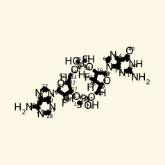 Nc1nc2c(ncn2[C@@H]2O[C@@H]3CO[P@@](O)(=S)O[C@@H]4[C@H](F)[C@H](n5cnc6c(N)ncnc65)O[C@@H]4CO[PH](O)(S)OC2[C@H]3F)c(=O)[nH]1